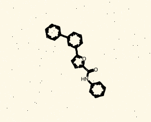 O=C(Nc1ccccc1)c1ccc(-c2cccc(-c3ccccc3)c2)o1